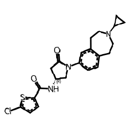 O=C(N[C@@H]1CC(=O)N(c2ccc3c(c2)CCN(C2CC2)CC3)C1)c1ccc(Cl)s1